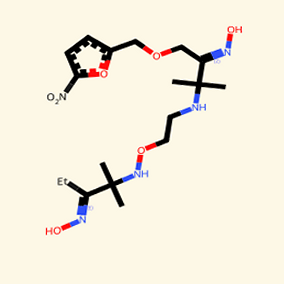 CC/C(=N\O)C(C)(C)NOCCNC(C)(C)/C(COCc1ccc([N+](=O)[O-])o1)=N/O